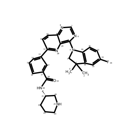 CC1(C)CN(c2ncnc3ccc(-c4cccc(C(=O)N[C@H]5CCCNC5)c4)nc23)c2ccc(F)cc21